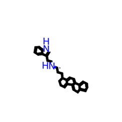 [CH](CCC1CCC=c2c1ccc1c2=CCc2ccccc2-1)NCCc1c[nH]c2ccccc12